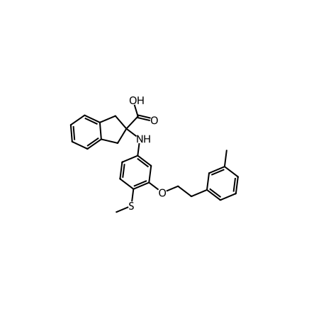 CSc1ccc(NC2(C(=O)O)Cc3ccccc3C2)cc1OCCc1cccc(C)c1